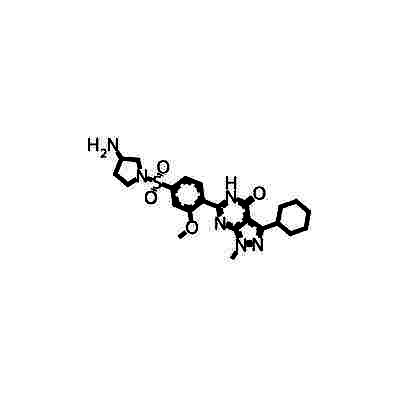 COc1cc(S(=O)(=O)N2CCC(N)C2)ccc1-c1nc2c(c(C3CCCCC3)nn2C)c(=O)[nH]1